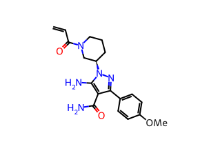 C=CC(=O)N1CCC[C@@H](n2nc(-c3ccc(OC)cc3)c(C(N)=O)c2N)C1